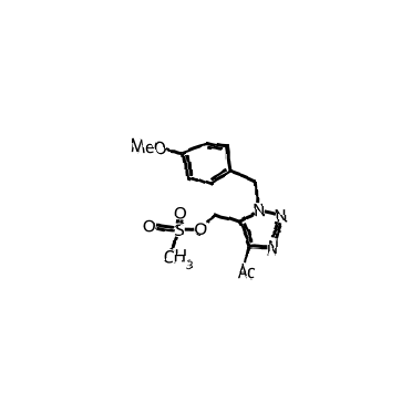 COc1ccc(Cn2nnc(C(C)=O)c2COS(C)(=O)=O)cc1